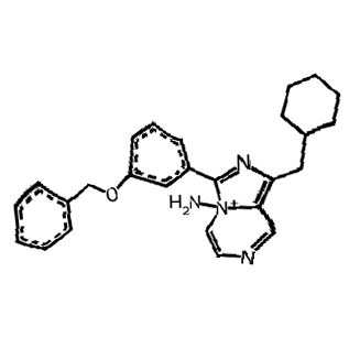 N[N+]12C=CN=CC1=C(CC1CCCCC1)N=C2c1cccc(OCc2ccccc2)c1